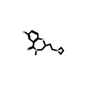 CN1CC(CCN2CCC2)Oc2ccc(Cl)cc2C1=S